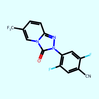 N#Cc1cc(F)c(-n2nc3ccc(C(F)(F)F)cn3c2=O)cc1F